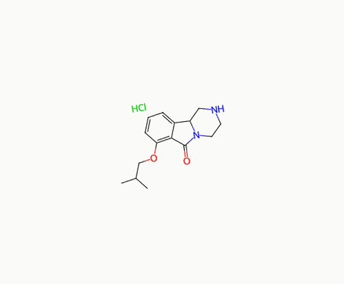 CC(C)COc1cccc2c1C(=O)N1CCNCC21.Cl